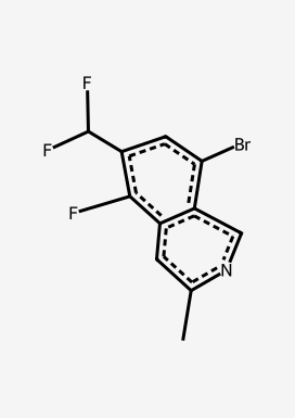 Cc1cc2c(F)c(C(F)F)cc(Br)c2cn1